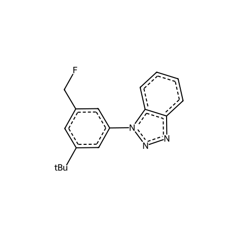 CC(C)(C)c1cc(CF)cc(-n2nnc3ccccc32)c1